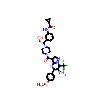 COc1ccc(-c2nc3c(C(=O)N4CCN([C@H](CO)c5cccc(NC(=O)C6CC6)c5)CC4)cnn3c(C(F)(F)F)c2C)cc1